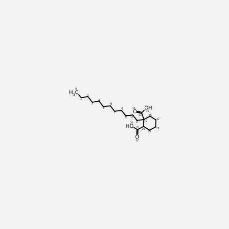 CCCCCCCCCCCCC1(C(=O)O)CCCCC1C(=O)O